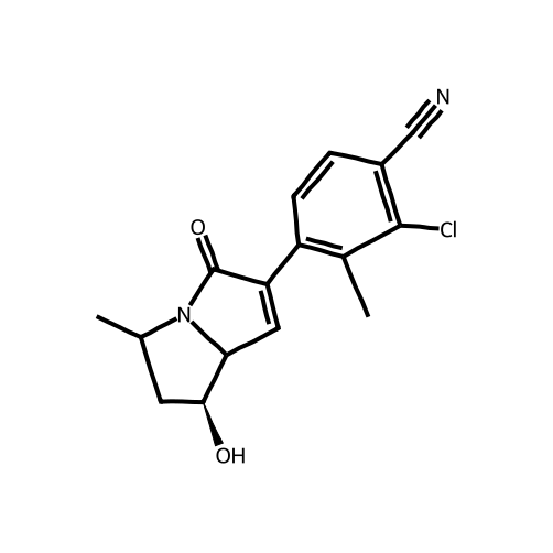 Cc1c(C2=CC3[C@@H](O)CC(C)N3C2=O)ccc(C#N)c1Cl